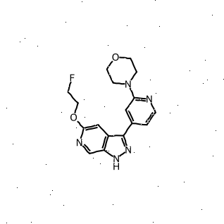 FCCOc1cc2c(-c3ccnc(N4CCOCC4)c3)n[nH]c2cn1